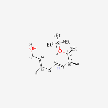 CC[C@H](O[Si](CC)(CC)CC)[C@@H](C)/C=C/CC(C)=CCO